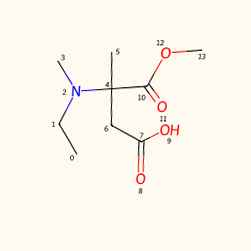 CCN(C)C(C)(CC(=O)O)C(=O)OC